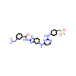 CN(C)Cc1cccc(C(=O)Nc2nc3cc(N(C)c4ccnc(Nc5ccc(CS(C)(=O)=O)cc5)n4)ccc3n2C)c1